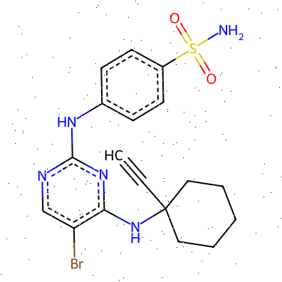 C#CC1(Nc2nc(Nc3ccc(S(N)(=O)=O)cc3)ncc2Br)CCCCC1